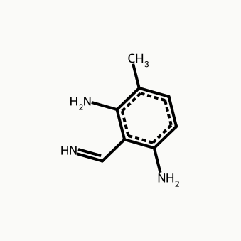 Cc1ccc(N)c(C=N)c1N